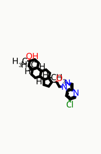 C[C@@]1(O)CC[C@@]2(C)[C@H](CC[C@@H]3[C@@H]2CC[C@]2(C)[C@@H](C(=O)Cn4ncc5ncc(Cl)cc54)CC[C@@H]32)C1